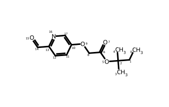 CCC(C)(C)OC(=O)COc1ccc(C=O)nc1